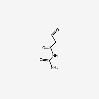 NC(=O)NC(=O)CC=O